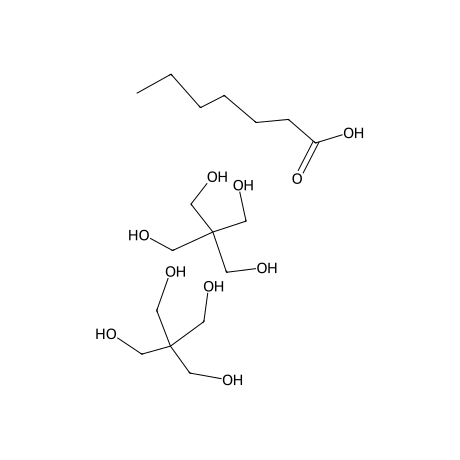 CCCCCCC(=O)O.OCC(CO)(CO)CO.OCC(CO)(CO)CO